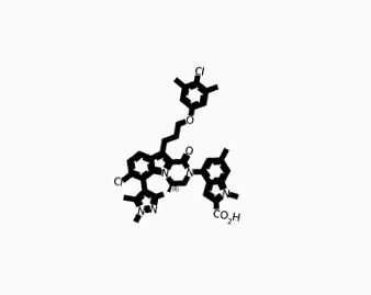 Cc1cc(N2C[C@@H](C)n3c(c(CCCOc4cc(C)c(Cl)c(C)c4)c4ccc(Cl)c(-c5c(C)nn(C)c5C)c43)C2=O)c2cc(C(=O)O)n(C)c2c1